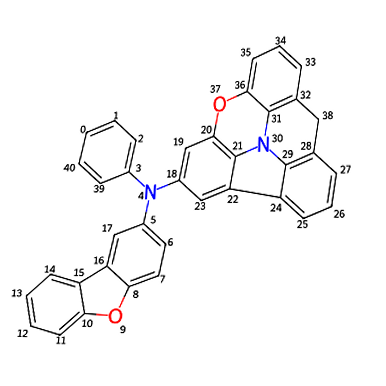 c1ccc(N(c2ccc3oc4ccccc4c3c2)c2cc3c4c(c2)c2cccc5c2n4-c2c(cccc2O3)C5)cc1